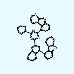 c1ccc(-c2nc(-c3cc(-c4cccc5oc6ccccc6c45)c4ccccc4c3)nc(-c3cccc4oc5ncccc5c34)n2)cc1